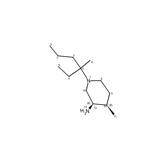 CCCC(C)(CC)N1CC[C@@H](C)[C@@H](N)C1